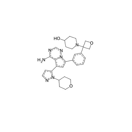 Nc1ncnn2c(-c3cccc(C4(N5CCC(O)CC5)COC4)c3)cc(-c3ccnn3C3CCOCC3)c12